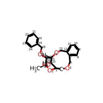 C[C@@H]1OC2COCc3ccccc3CO[C@@H](C1OCc1ccccc1)[C@@H]2O